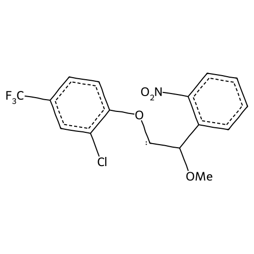 COC([C]Oc1ccc(C(F)(F)F)cc1Cl)c1ccccc1[N+](=O)[O-]